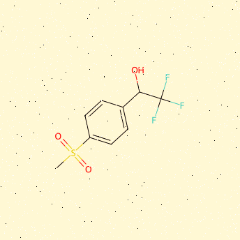 CS(=O)(=O)c1ccc(C(O)C(F)(F)F)cc1